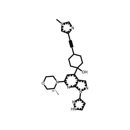 C[C@@H]1COCCN1c1cc(C2(O)CCC(C#Cc3cn(C)cn3)CC2)c2cnn(-c3cc[nH]n3)c2n1